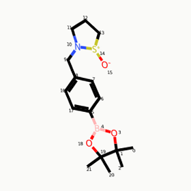 CC1(C)OB(c2ccc(CN3CCC[S+]3[O-])cc2)OC1(C)C